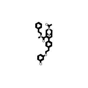 CC(=O)N1CC2CC(c3ccc(CCOc4cccc(Cl)c4)cc3)=C(C(=O)N(C)CCc3ccccc3)C(C1)N2